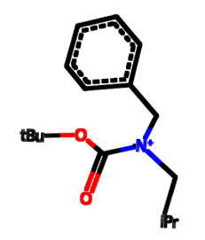 CC(C)C[N+](Cc1ccccc1)C(=O)OC(C)(C)C